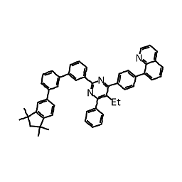 CCc1c(-c2ccccc2)nc(-c2cccc(-c3cccc(-c4ccc5c(c4)C(C)(C)CC5(C)C)c3)c2)nc1-c1ccc(-c2cccc3cccnc23)cc1